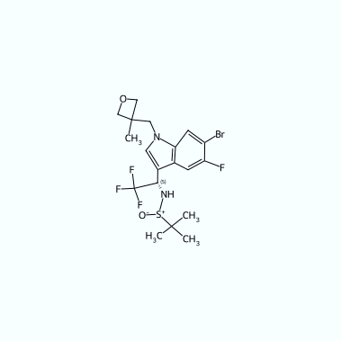 CC1(Cn2cc([C@H](N[S+]([O-])C(C)(C)C)C(F)(F)F)c3cc(F)c(Br)cc32)COC1